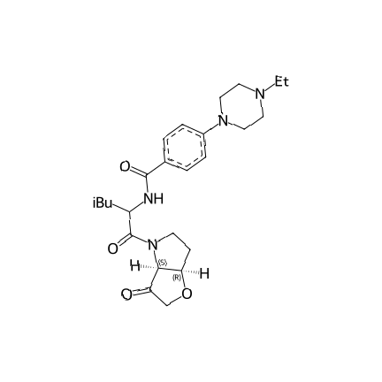 CCC(C)C(NC(=O)c1ccc(N2CCN(CC)CC2)cc1)C(=O)N1CC[C@H]2OCC(=O)[C@H]21